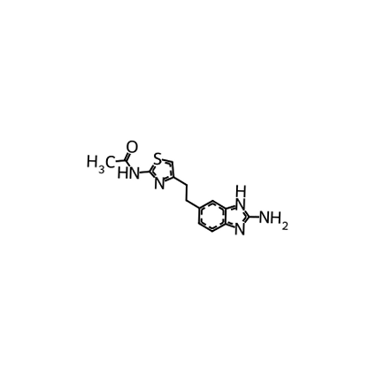 CC(=O)Nc1nc(CCc2ccc3nc(N)[nH]c3c2)cs1